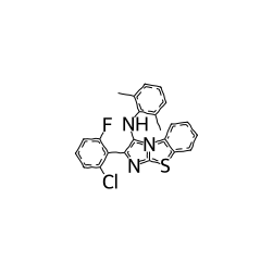 Cc1cccc(C)c1Nc1c(-c2c(F)cccc2Cl)nc2sc3ccccc3n12